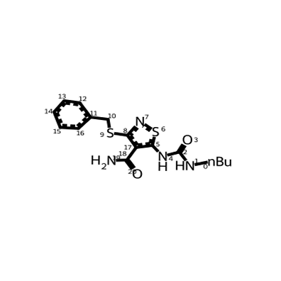 CCCCNC(=O)Nc1snc(SCc2ccccc2)c1C(N)=O